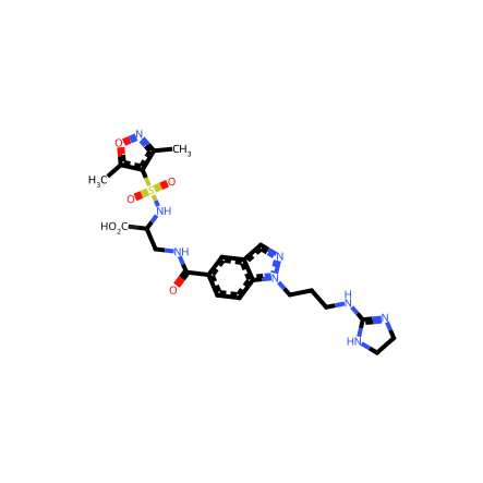 Cc1noc(C)c1S(=O)(=O)NC(CNC(=O)c1ccc2c(cnn2CCCNC2=NCCN2)c1)C(=O)O